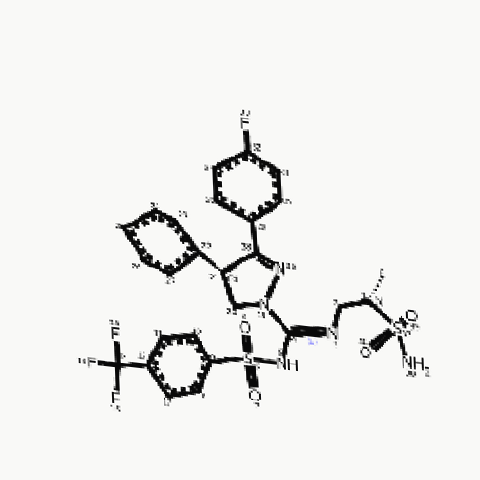 C[C@@H](C/N=C(/NS(=O)(=O)c1ccc(C(F)(F)F)cc1)N1C[C@@H](c2ccccc2)C(c2ccc(F)cc2)=N1)S(N)(=O)=O